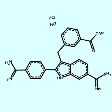 COC(=O)c1cccc(Cc2c(-c3ccc(C(=N)N)cc3)[nH]c3cc(C(=N)N)ccc23)c1.Cl.Cl